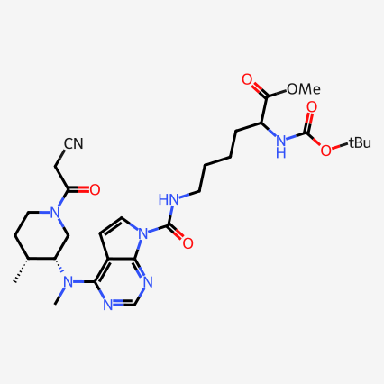 COC(=O)C(CCCCNC(=O)n1ccc2c(N(C)[C@H]3CN(C(=O)CC#N)CC[C@H]3C)ncnc21)NC(=O)OC(C)(C)C